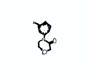 O=C1COCCN1c1cccc(I)c1